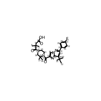 CC(C)(CC(=O)O)C(=O)N1CCN(C(=O)c2cn3nc(-c4ccc(F)cc4)cc(C(C)(C)C)c3n2)C(C)(C)C1